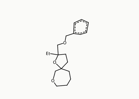 CCC1(COCc2ccccc2)CCC2(CCCCOC2)O1